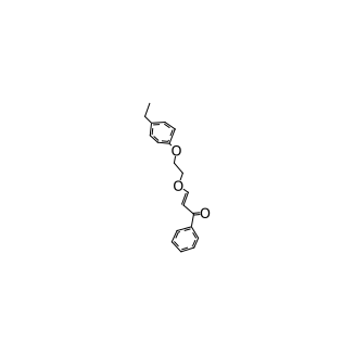 CCc1ccc(OCCO/C=C/C(=O)c2ccccc2)cc1